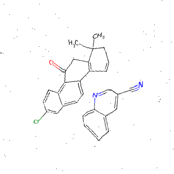 CC1(C)CC=CC2=C1CC(=O)c1c2ccc2cc(Cl)ccc12.N#Cc1cnc2ccccc2c1